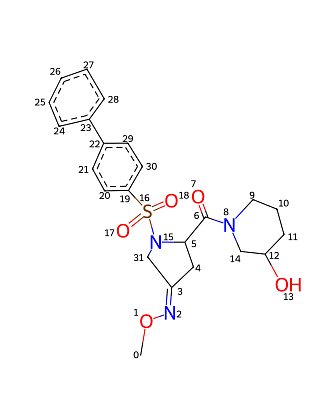 CON=C1CC(C(=O)N2CCCC(O)C2)N(S(=O)(=O)c2ccc(-c3ccccc3)cc2)C1